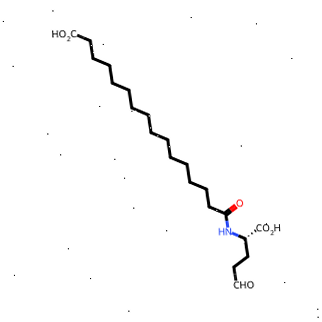 O=CCC[C@H](NC(=O)CCCCCCCCCCCCCCC(=O)O)C(=O)O